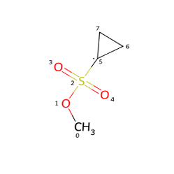 COS(=O)(=O)[C]1CC1